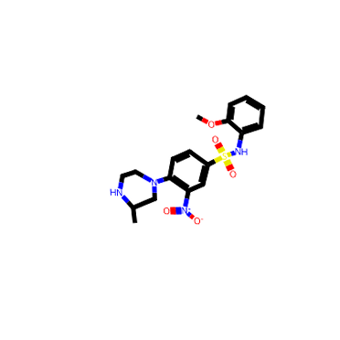 COc1ccccc1NS(=O)(=O)c1ccc(N2CCNC(C)C2)c([N+](=O)[O-])c1